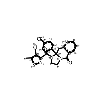 Cc1snc(C(=O)N2CCN3C(=O)c4cccnc4CC32c2ccc(Cl)cc2)c1Cl